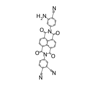 N#Cc1ccc(N2C(=O)c3ccc4c5c(ccc(c35)C2=O)C(=O)N(c2ccc(C#N)c(C#N)c2)C4=O)cc1N